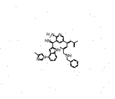 C=C(C)/C=C(\C=C(/C)CNCc1ccccc1)c1cnc(N)c(C(=N)c2cc3c(-n4cnc(C)c4)cccc3[nH]2)c1